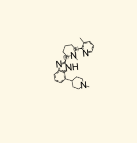 Cc1cccnc1[C@@H]1CCC[C@H](c2nc3cccc(C4CCN(C)CC4)c3[nH]2)N1C